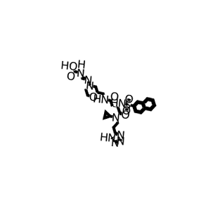 O=C(O)N/C=N/N1CCOC(CNC(=O)C[C@H](NS(=O)(=O)c2ccc3ccccc3c2)C(=O)N(CCc2nnn[nH]2)C2CC2)C1